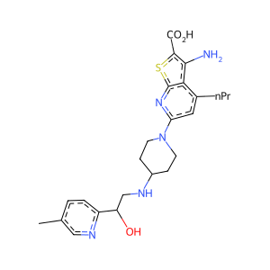 CCCc1cc(N2CCC(NCC(O)c3ccc(C)cn3)CC2)nc2sc(C(=O)O)c(N)c12